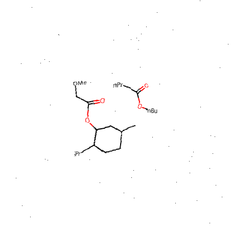 CCCCOC(=O)CCC.COCC(=O)OC1CC(C)CCC1C(C)C